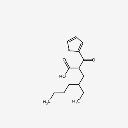 CCCCC(CC)CC(C(=O)O)C(=O)c1cccs1